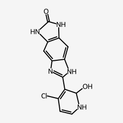 O=c1[nH]c2cc3nc(C4=C(Cl)C=CNC4O)[nH]c3cc2[nH]1